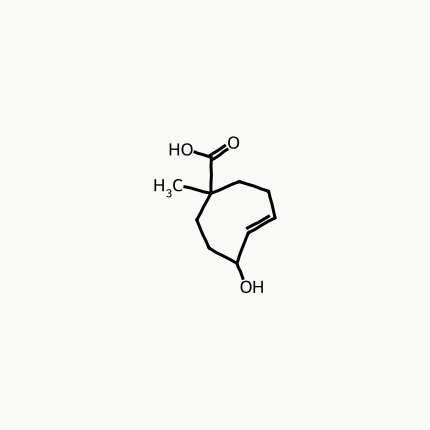 CC1(C(=O)O)CC/C=C/C(O)CC1